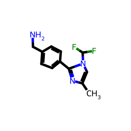 Cc1cn(C(F)F)c(-c2ccc(CN)cc2)n1